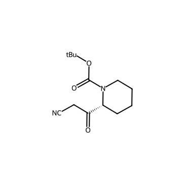 CC(C)(C)OC(=O)N1CCCC[C@@H]1C(=O)CC#N